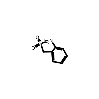 Nc1ccccc1CS(=O)(=O)Cl